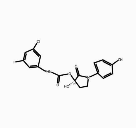 N#Cc1ccc(N2CC[C@@](O)(OC(=O)NCc3cc(F)cc(Cl)c3)C2=O)cc1